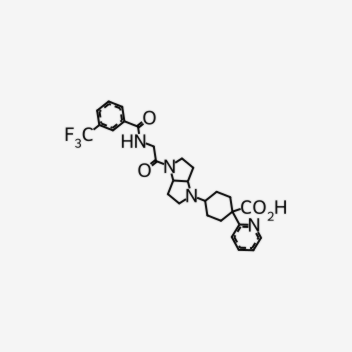 O=C(NCC(=O)N1CCC2C1CCN2C1CCC(C(=O)O)(c2ccccn2)CC1)c1cccc(C(F)(F)F)c1